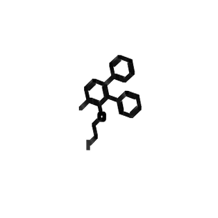 Cc1ccc(-c2ccccc2)c(-c2ccccc2)c1OCCI